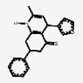 CCN1C(C)=CC(c2ccoc2)C2=C1CC(c1ccccc1)CC2=O